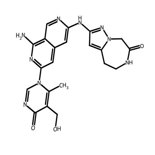 Cc1c(CO)c(=O)ncn1-c1cc2cc(Nc3cc4n(n3)CC(=O)NCC4)ncc2c(N)n1